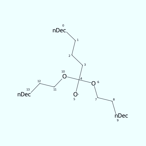 CCCCCCCCCCCCCC([O])(OCCCCCCCCCCCC)OCCCCCCCCCCCC